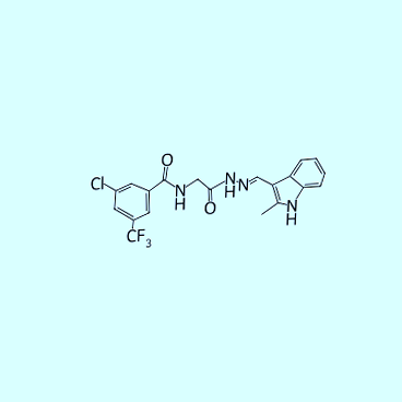 Cc1[nH]c2ccccc2c1/C=N/NC(=O)CNC(=O)c1cc(Cl)cc(C(F)(F)F)c1